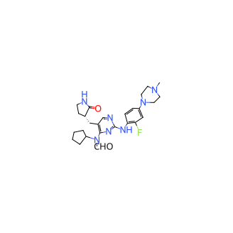 CN1CCN(c2ccc(Nc3ncc(C[C@@H]4CCNC4=O)c(N(C=O)C4CCCC4)n3)c(F)c2)CC1